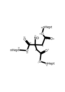 CCCCCCCOC(=O)CC(CC(=O)OCCCCCCC)(N=O)C(=O)OCCCCCCC